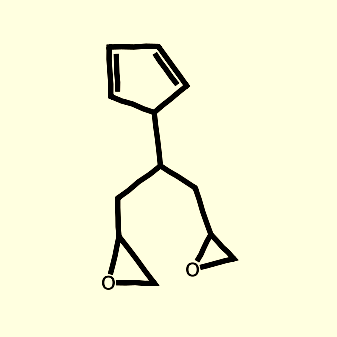 C1=CC(C(CC2CO2)CC2CO2)C=C1